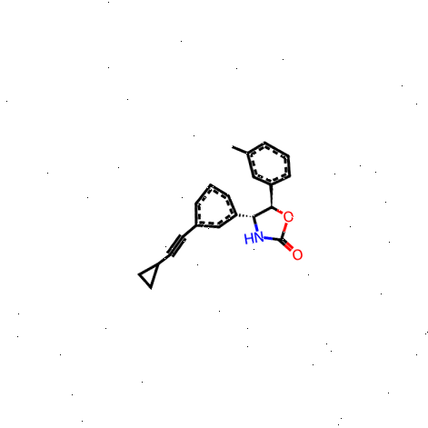 Cc1cccc([C@H]2OC(=O)N[C@@H]2c2cccc(C#CC3CC3)c2)c1